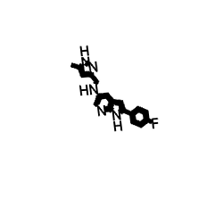 Cc1cc(CNc2cnc3[nH]c(-c4ccc(F)cc4)cc3c2)n[nH]1